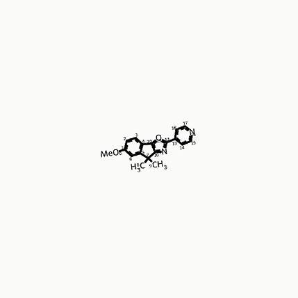 COc1ccc2c(c1)C(C)(C)c1nc(-c3ccncc3)oc1-2